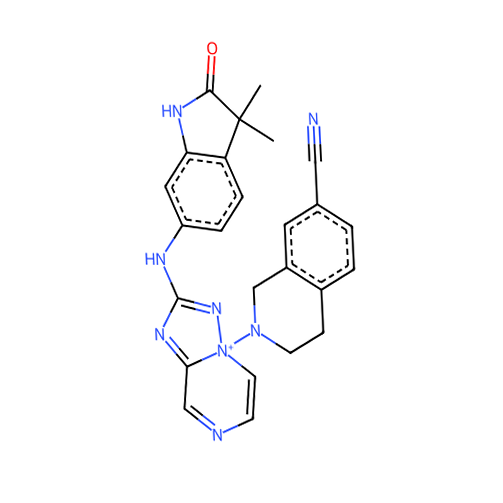 CC1(C)C(=O)Nc2cc(NC3=N[N+]4(N5CCc6ccc(C#N)cc6C5)C=CN=CC4=N3)ccc21